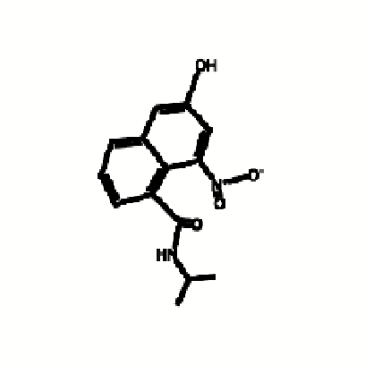 CC(C)NC(=O)c1cccc2cc(O)cc([N+](=O)[O-])c12